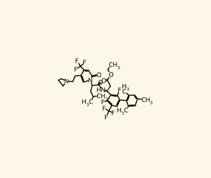 CCOC(=O)C[C@H](NC(=O)C(CC(C)C)n1cc(CCN2CCC2)c(C(F)(F)F)cc1=O)c1c(F)c(-c2c(C)cc(C)cc2C)cc(C(F)(F)F)c1F